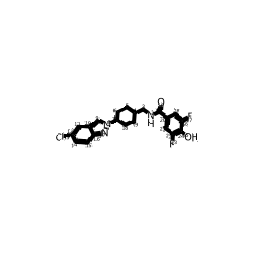 O=C(NCC1CCC(n2cc3cc(Cl)ccc3n2)CC1)c1cc(F)c(O)c(F)c1